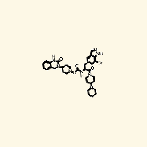 O=C(NC(Cc1cc(Br)c2[nH]ncc2c1)C(=O)N1CCC(N2CCCCC2)CC1)ON1CCC(N2Cc3ccccc3NC2=O)CC1